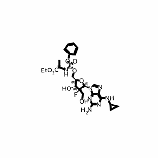 CCOC(=O)[C@@H](C)N[P@](=O)(OC[C@H]1O[C@@H](n2cnc3c(NC4CC4)nc(N)nc32)[C@@](F)(CO)[C@@H]1O)Oc1ccccc1